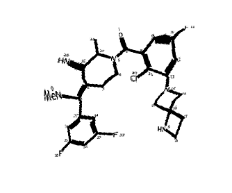 CN/C(=C1/CCN(C(=O)c2cc(F)cc(N3CC4(CCN4)C3)c2Cl)C(C)C1=N)c1cc(F)cc(F)c1